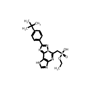 CCOP(=O)(O)Cc1nc2nc[nH]c2c2nc(-c3ccc(C(C)(C)C)cc3)nn12